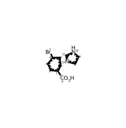 O=C(O)c1ccc(Br)cc1.c1c[nH]cn1